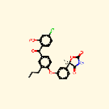 CCCc1cc(C(=O)c2ccc(Cl)cc2O)ccc1Oc1cccc([C@@]2(C)OC(=O)NC2=O)c1